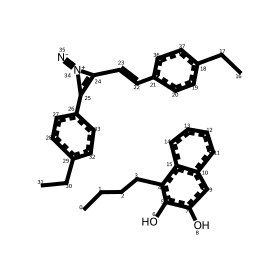 CCCCc1c(O)c(O)cc2ccccc12.CCc1ccc(C=CC2=C(c3ccc(CC)cc3)[N+]2=[N-])cc1